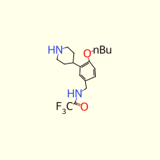 CCCCOc1ccc(CNC(=O)C(F)(F)F)cc1C1CCNCC1